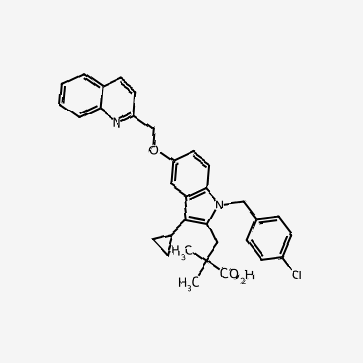 CC(C)(Cc1c(C2CC2)c2cc(OCc3ccc4ccccc4n3)ccc2n1Cc1ccc(Cl)cc1)C(=O)O